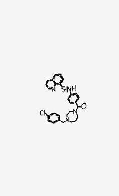 O=C(c1ccc(NSc2cccc3cccnc23)cc1)N1CCCN(Cc2ccc(Cl)cc2)CC1